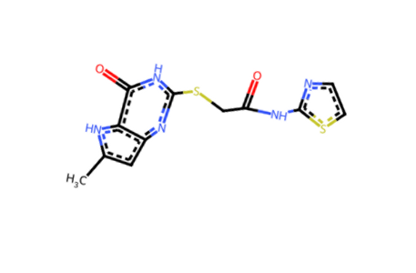 Cc1cc2nc(SCC(=O)Nc3nccs3)[nH]c(=O)c2[nH]1